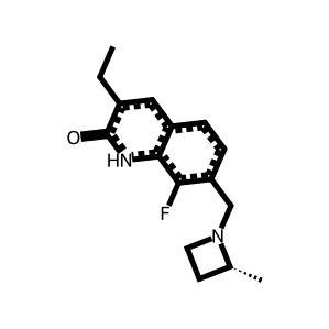 CCc1cc2ccc(CN3CC[C@H]3C)c(F)c2[nH]c1=O